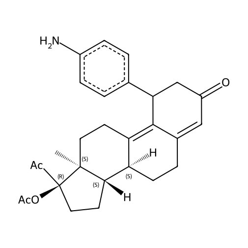 CC(=O)O[C@]1(C(C)=O)CC[C@H]2[C@@H]3CCC4=CC(=O)CC(c5ccc(N)cc5)C4=C3CC[C@@]21C